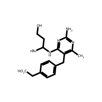 CCCCC(CCO)Nc1nc(N)nc(C)c1Cc1ccc(CC(=O)O)cc1